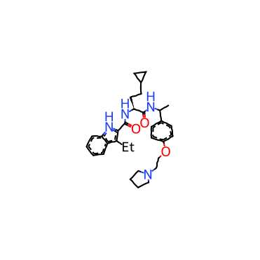 CCc1c(C(=O)N[C@@H](CCC2CC2)C(=O)NC(C)c2ccc(OCCN3CCCC3)cc2)[nH]c2ccccc12